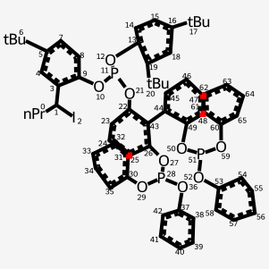 CCCC(I)c1cc(C(C)(C)C)ccc1OP(Oc1ccc(C(C)(C)C)cc1C(C)(C)C)Oc1cccc(OP(Oc2ccccc2)Oc2ccccc2)c1-c1ccccc1OP(Oc1ccccc1)Oc1ccccc1